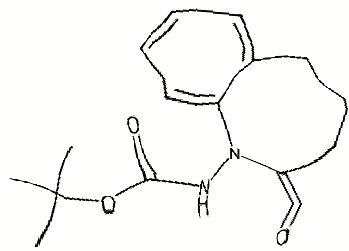 CC(C)(C)OC(=O)NN1C(=O)CCCc2ccccc21